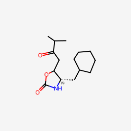 CC(C)C(=O)CC1OC(=O)N[C@H]1CC1CCCCC1